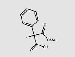 COC(=O)C(C)(C(O)=S)c1ccccc1